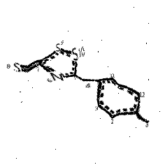 Cc1ccc(-c2nc(=S)ss2)cc1